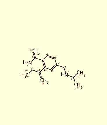 C=C(N)c1ccc(CNC(C)C)cc1C(=C)CC